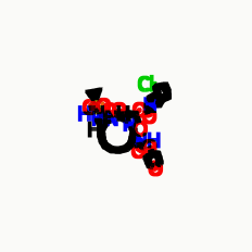 O=C(N[C@H]1CCCCC/C=C\[C@@H]2C[C@@]2(C(=O)NS(=O)(=O)C2CC2)NC(=O)[C@@H]2C[C@@H](OC(=O)N3Cc4cccc(Cl)c4C3)CN2C1=O)OC1CCOCC1